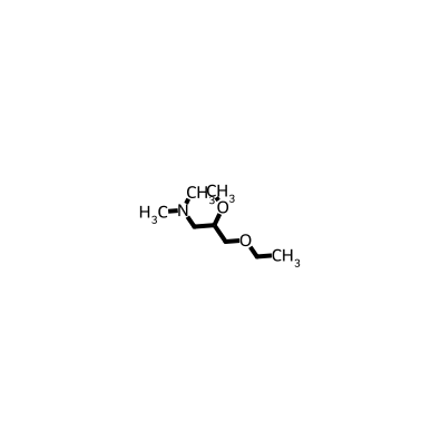 CCOCC(CN(C)C)OC